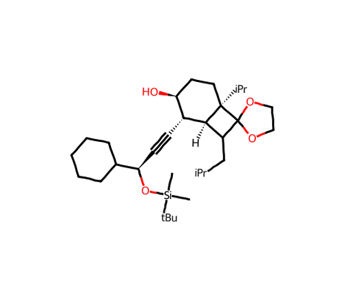 CC(C)CC1[C@H]2[C@H](C#C[C@@H](O[Si](C)(C)C(C)(C)C)C3CCCCC3)[C@@H](O)CC[C@@]2(C(C)C)C12OCCO2